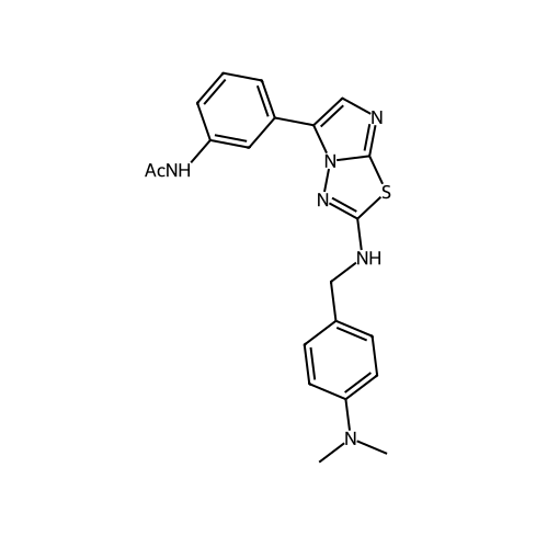 CC(=O)Nc1cccc(-c2cnc3sc(NCc4ccc(N(C)C)cc4)nn23)c1